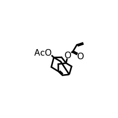 C=CC(=O)OC12CC3=CC(CC(OC(C)=O)(C3)C1)C2